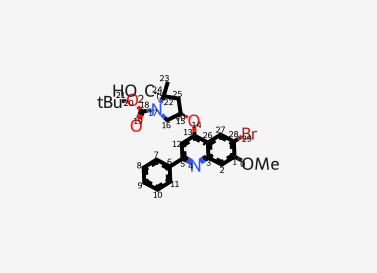 COc1cc2nc(-c3ccccc3)cc(O[C@H]3CN(C(=O)OC(C)(C)C)[C@](C)(C(=O)O)C3)c2cc1Br